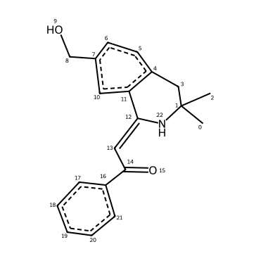 CC1(C)Cc2ccc(CO)cc2C(=CC(=O)c2ccccc2)N1